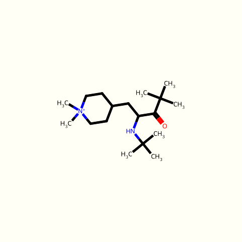 CC(C)(C)NC(CC1CC[N+](C)(C)CC1)C(=O)C(C)(C)C